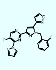 Fc1ccccc1Cn1nc(-c2ncc(F)c(-n3cccn3)n2)cc1-c1ccon1